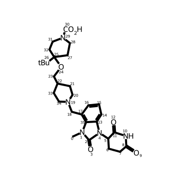 Cn1c(=O)n(C2CCC(=O)NC2=O)c2cccc(CN3CCC(COC4(C(C)(C)C)CCN(C(=O)O)CC4)CC3)c21